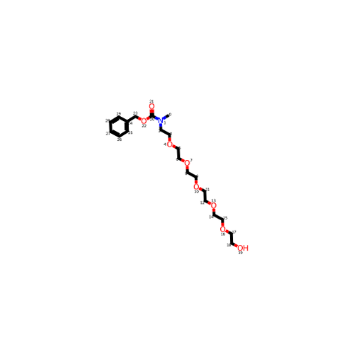 CN(CCOCCOCCOCCOCCOCCO)C(=O)OCc1ccccc1